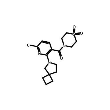 O=C(c1ccc(Cl)nc1N1CCC2(CCC2)C1)N1CCS(=O)(=O)CC1